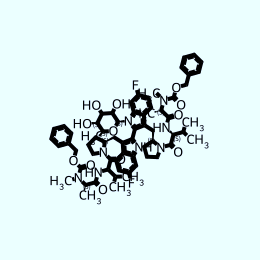 CC(C)C(NC(=O)[C@H](C)N(C)C(=O)OCc1ccccc1)C(=O)N1CCC[C@H]1Cc1c(-c2c(C[C@@H]3CCCN3C(=O)[C@@H](NC(=O)[C@H](C)N(C)C(=O)OCc3ccccc3)C(C)C)c3ccc(F)cc3n2[C@H]2O[C@@H](C)[C@@H](O)C(O)C2O)[nH]c2cc(F)ccc12